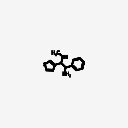 CNC(c1ccsc1)C(N)c1ccccc1